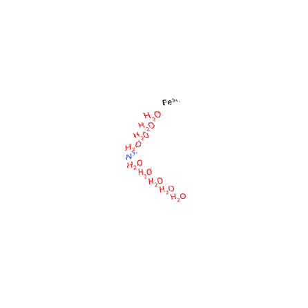 O.O.O.O.O.O.O.O.O.[Fe+3].[N-3]